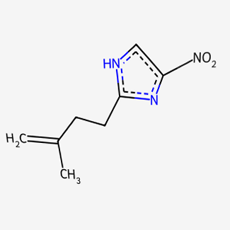 C=C(C)CCc1nc([N+](=O)[O-])c[nH]1